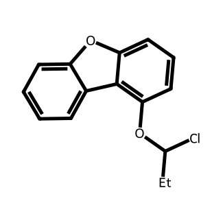 CCC(Cl)Oc1cccc2oc3ccccc3c12